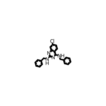 Clc1ccc2c(NCc3ccccc3)nc(NCc3ccccc3)nc2c1